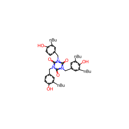 CCCCc1cc(Cn2c(=O)n(Cc3ccc(O)c(CCCC)c3)c(=O)n(Cc3cc(CCCC)c(O)c(CCCC)c3)c2=O)ccc1O